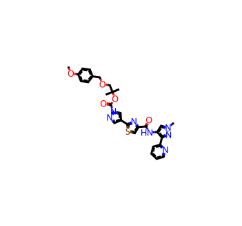 COc1ccc(COCC(C)(C)OC(=O)n2cc(-c3nc(C(=O)Nc4cn(C)nc4-c4ccccn4)cs3)cn2)cc1